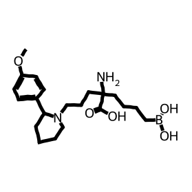 COc1ccc(C2CCCCN2CCCC(N)(CCCCB(O)O)C(=O)O)cc1